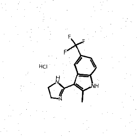 Cc1[nH]c2ccc(C(F)(F)F)cc2c1C1=NCCN1.Cl